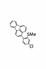 CSc1cc(Cl)ccc1-c1ccc2c3c(cccc13)-c1ccccc1-2